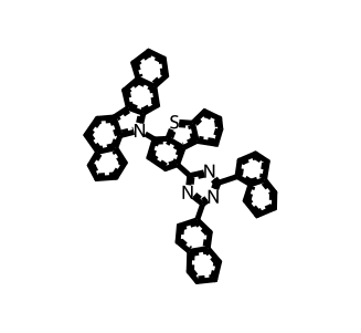 c1ccc2cc(-c3nc(-c4cccc5ccccc45)nc(-c4ccc(-n5c6cc7ccccc7cc6c6ccc7ccccc7c65)c5sc6ccccc6c45)n3)ccc2c1